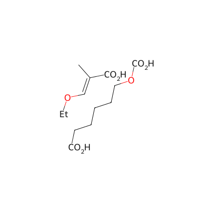 CCOC=C(C)C(=O)O.O=C(O)CCCCCOC(=O)O